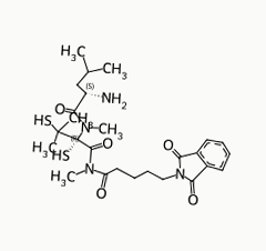 CC(C)C[C@H](N)C(=O)N(C)[C@@](S)(C(=O)N(C)C(=O)CCCCN1C(=O)c2ccccc2C1=O)C(C)(C)S